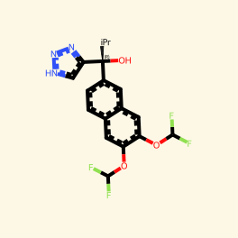 CC(C)[C@@](O)(c1ccc2cc(OC(F)F)c(OC(F)F)cc2c1)c1c[nH]nn1